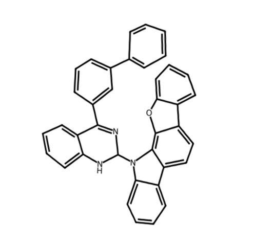 c1ccc(-c2cccc(C3=NC(n4c5ccccc5c5ccc6c7ccccc7oc6c54)Nc4ccccc43)c2)cc1